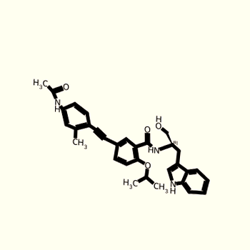 CC(=O)Nc1ccc(C#Cc2ccc(OC(C)C)c(C(=O)N[C@@H](CO)Cc3c[nH]c4ccccc34)c2)c(C)c1